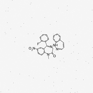 C1=Cc2ccccc2NN=C1.CN1C(=O)CN=C(c2ccccc2F)c2cc([N+](=O)[O-])ccc21